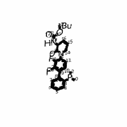 CP(C)c1ccccc1-c1ccc(N2CCCC(NC(=O)OC(C)(C)C)C2=O)c(F)c1F